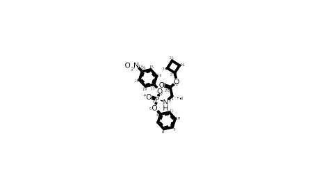 C[C@H](N[P@@](=O)(Oc1ccccc1)Oc1ccc([N+](=O)[O-])cc1)C(=O)OC1CCC1